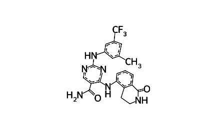 Cc1cc(Nc2ncc(C(N)=O)c(Nc3cccc4c3CCNC4=O)n2)cc(C(F)(F)F)c1